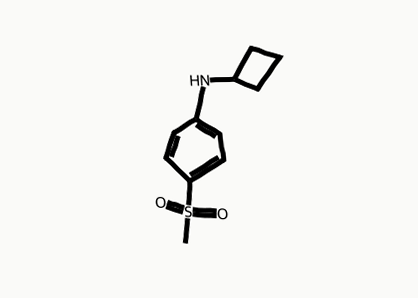 CS(=O)(=O)c1ccc(NC2CCC2)cc1